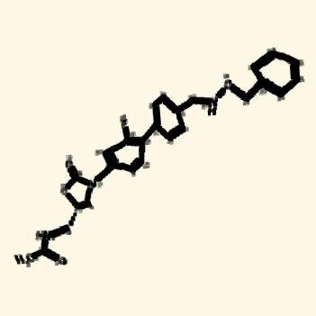 CC(=O)NC[C@H]1CN(c2ccc(-c3ccc(CNOCc4ccccc4)cc3)c(F)c2)C(=O)O1